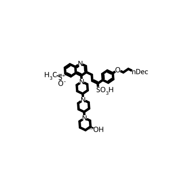 CCCCCCCCCCCCOc1ccc(C(=CCc2cnc3ccc([S@@+](C)[O-])cc3c2N2CCC(N3CCC(N4CCC[C@H](O)C4)CC3)CC2)S(=O)(=O)O)cc1